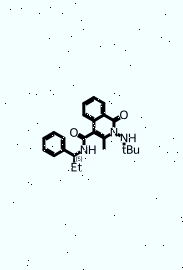 CC[C@H](NC(=O)c1c(C)n(NC(C)(C)C)c(=O)c2ccccc12)c1ccccc1